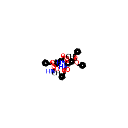 CNC(=O)Oc1ccc(CC(NC(=O)C(Cc2ccc(OCc3ccccc3)c(OCc3ccccc3)c2)NC(=O)OCc2ccccc2)C(=O)OC)cc1OCc1ccccc1